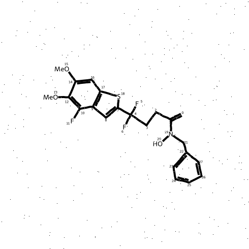 C=C(CCC(F)(F)c1cc2c(F)c(OC)c(OC)cc2s1)N(O)Cc1ccccc1